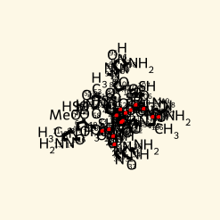 COP(=O)(S)OC1C[C@H](n2cc(C)c(N)nc2=O)O[C@@H]1COP(=O)(S)OC1C[C@H](n2cnc3c(=O)[nH]c(N)nc32)O[C@@H]1COP(=O)(S)OC1C[C@H](n2cc(C)c(=O)[nH]c2=O)O[C@@H]1COP(=O)(S)OC1C[C@H](n2cc(C)c(=O)[nH]c2=O)O[C@@H]1COP(=O)(S)OC1C[C@H](n2cnc3c(=O)[nH]c(N)nc32)O[C@@H]1COP(=O)(S)OC1C[C@H](n2cnc3c(N)ncnc32)O[C@@H]1COP(=O)(S)OC1C[C@H](n2cc(C)c(=O)[nH]c2=O)O[C@@H]1C